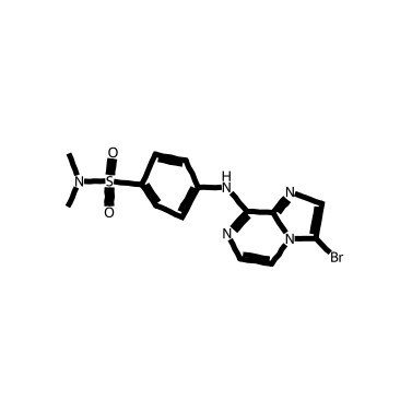 CN(C)S(=O)(=O)c1ccc(Nc2nccn3c(Br)cnc23)cc1